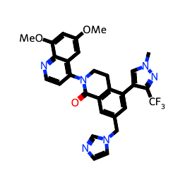 COc1cc(OC)c2nccc(N3CCc4c(cc(Cn5ccnc5)cc4-c4cn(C)nc4C(F)(F)F)C3=O)c2c1